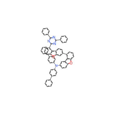 c1ccc(-c2ccc(N(c3ccc(-c4ccccc4)cc3)c3ccc4oc5cccc(-c6ccc7c(c6)oc6cccc(-c8nc(-c9ccccc9)nc(-c9ccccc9)n8)c67)c5c4c3)cc2)cc1